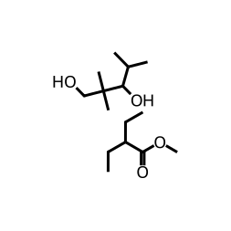 CC(C)C(O)C(C)(C)CO.CCC(CC)C(=O)OC